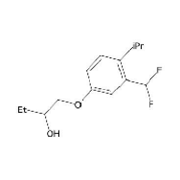 CCC(O)COc1ccc(C(C)C)c(C(F)F)c1